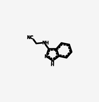 N#CCNc1n[nH]c2ccccc12